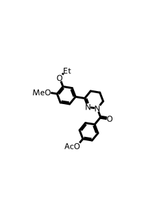 CCOc1cc(C2=NN(C(=O)c3ccc(OC(C)=O)cc3)CCC2)ccc1OC